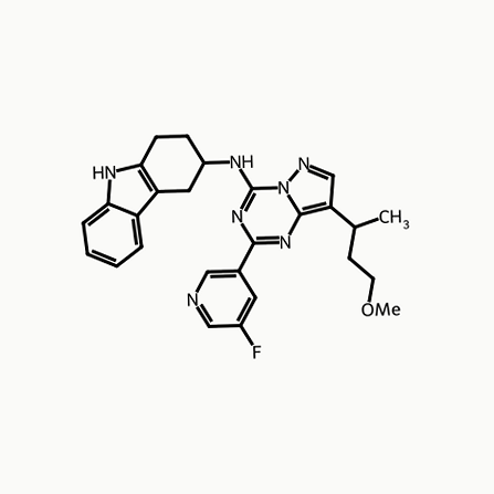 COCCC(C)c1cnn2c(NC3CCc4[nH]c5ccccc5c4C3)nc(-c3cncc(F)c3)nc12